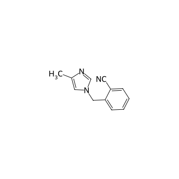 Cc1cn(Cc2ccccc2C#N)cn1